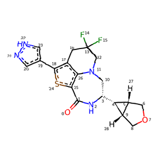 O=C1N[C@@H]([C@@H]2[C@@H]3COC[C@@H]32)CN2CC(F)(F)Cc3c(-c4cn[nH]c4)sc1c32